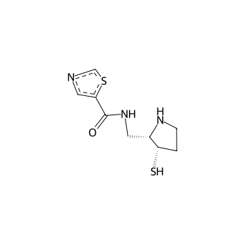 O=C(NC[C@@H]1NCC[C@@H]1S)c1cncs1